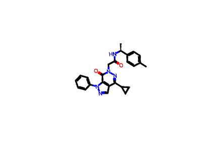 Cc1ccc([C@H](C)NC(=O)Cn2nc(C3CC3)c3cnn(-c4ccccc4)c3c2=O)cc1